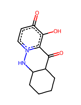 O=C1c2c(O)c(=O)ccn2NC2CCCCC12